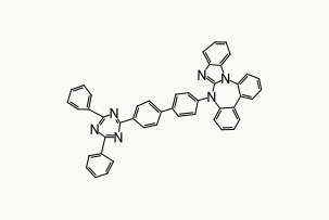 c1ccc(-c2nc(-c3ccccc3)nc(-c3ccc(-c4ccc(N5c6ccccc6-c6ccccc6-n6c5nc5ccccc56)cc4)cc3)n2)cc1